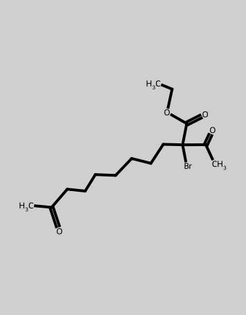 CCOC(=O)C(Br)(CCCCCCCC(C)=O)C(C)=O